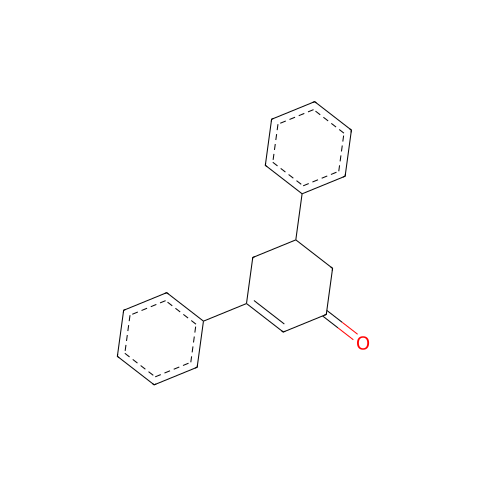 O=C1C=C(c2ccccc2)CC(c2ccccc2)C1